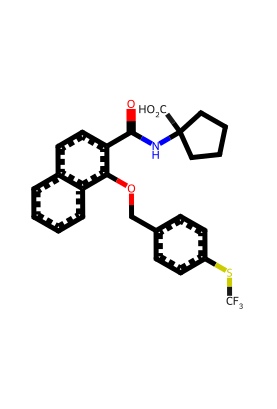 O=C(NC1(C(=O)O)CCCC1)c1ccc2ccccc2c1OCc1ccc(SC(F)(F)F)cc1